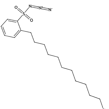 CCCCCCCCCCCCc1ccccc1S(=O)(=O)N=[N+]=[N-]